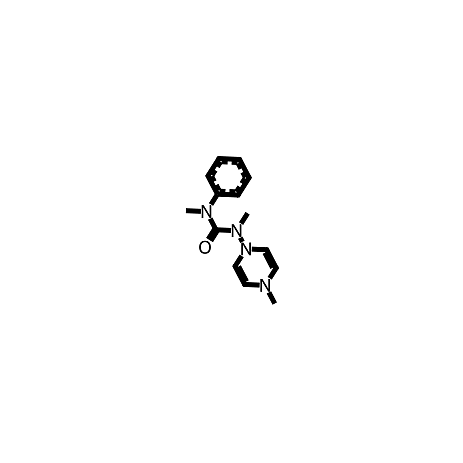 CN1C=CN(N(C)C(=O)N(C)c2ccccc2)C=C1